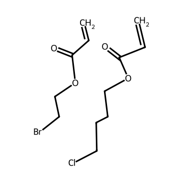 C=CC(=O)OCCBr.C=CC(=O)OCCCCCl